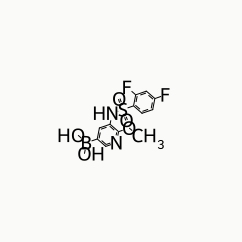 COc1ncc(B(O)O)cc1NS(=O)(=O)c1ccc(F)cc1F